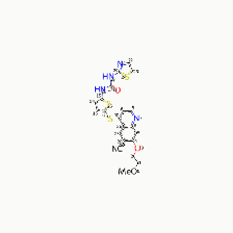 COCCOc1cc2nccc(Sc3ccc(NC(=O)Nc4nccs4)s3)c2cc1C#N